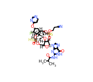 CC(C)C(=O)Nc1nc2c(ncn2[C@@H]2O[C@@H]3CO[P@@](=O)(S)O[C@@H]4[C@@H](CO[P@](=S)(OCCC#N)O[C@@H]2[C@@H]3O[Si](C)(C)C(C)(C)C)C[C@@H](Oc2ccncn2)[C@@H]4F)c(=O)[nH]1